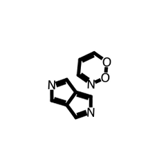 C1=COON=C1.C1=NC=C2C=NC=C12